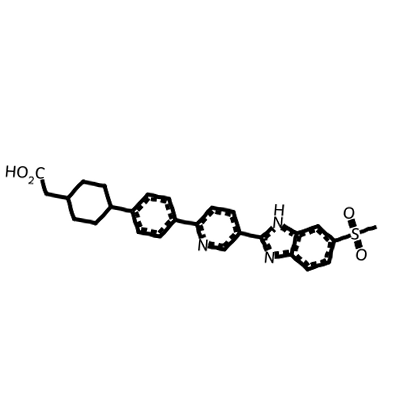 CS(=O)(=O)c1ccc2nc(-c3ccc(-c4ccc(C5CCC(CC(=O)O)CC5)cc4)nc3)[nH]c2c1